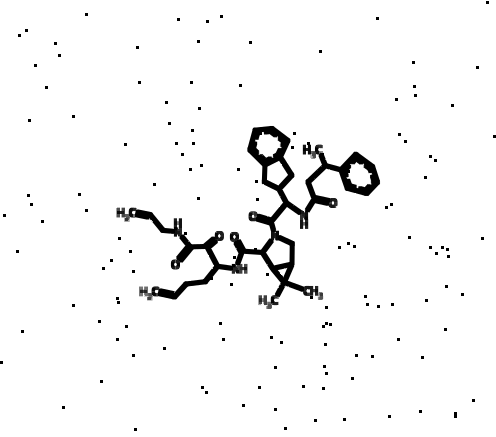 C=CCCC(NC(=O)C1C2C(CN1C(=O)C(NC(=O)CC(C)c1ccccc1)C1Cc3ccccc3C1)C2(C)C)C(=O)C(=O)NCC=C